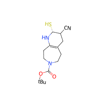 CC(C)(C)OC(=O)N1CCC2=C(CC1)N[C@H](S)C(C#N)C2